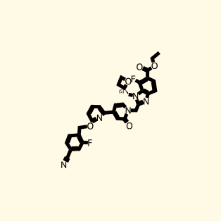 CCOC(=O)c1ccc2nc(Cn3ccc(-c4cccc(OCc5ccc(C#N)cc5F)n4)cc3=O)n(C[C@@H]3CCO3)c2c1F